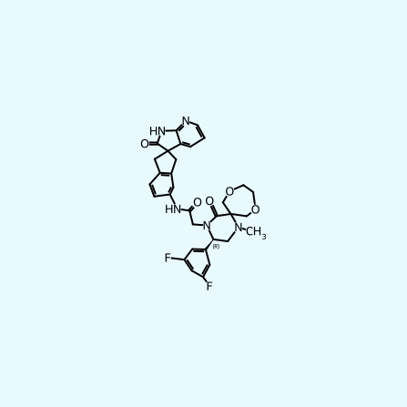 CN1C[C@@H](c2cc(F)cc(F)c2)N(CC(=O)Nc2ccc3c(c2)CC2(C3)C(=O)Nc3ncccc32)C(=O)C12COCCOC2